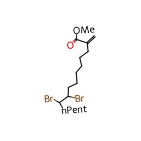 C=C(CCCCCCC(Br)C(Br)CCCCC)C(=O)OC